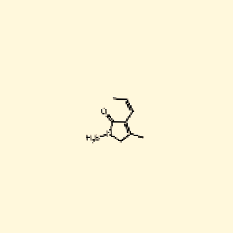 BN1CC(C)=C(/C=C\C)C1=O